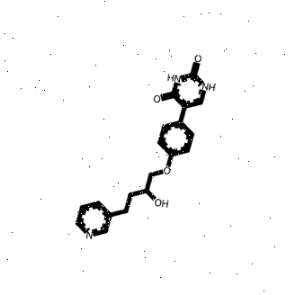 O=c1[nH]cc(-c2ccc(OCC(O)CCc3cccnc3)cc2)c(=O)[nH]1